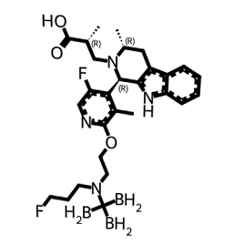 BC(B)(B)N(CCCF)CCOc1ncc(F)c([C@@H]2c3[nH]c4ccccc4c3C[C@@H](C)N2C[C@@H](C)C(=O)O)c1C